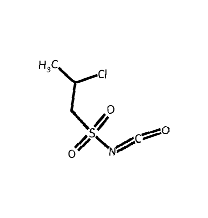 CC(Cl)CS(=O)(=O)N=C=O